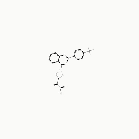 C=C(C(N)=O)C1CN(c2nc(-c3ccc(C(F)(F)F)cc3)nc3ccccc23)C1